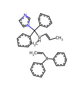 C=CB(c1ccccc1)c1ccccc1.CC=C[SiH](C)C(c1ccccc1)(c1ccccc1)n1ccnc1